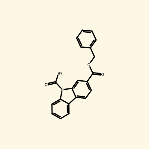 CC(C)C(=O)n1c2ccccc2c2ccc(C(=O)OCc3ccccc3)cc21